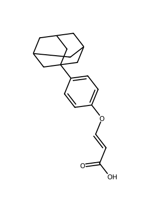 O=C(O)C=COc1ccc(C23CC4CC(CC(C4)C2)C3)cc1